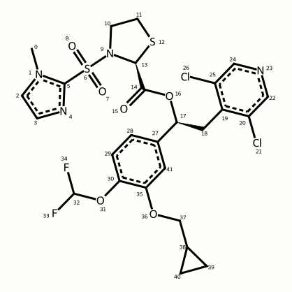 Cn1ccnc1S(=O)(=O)N1CCS[C@H]1C(=O)O[C@@H](Cc1c(Cl)cncc1Cl)c1ccc(OC(F)F)c(OCC2CC2)c1